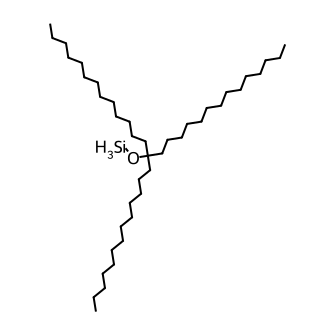 CCCCCCCCCCCCCCC(CCCCCCCCCCCCC)(CCCCCCCCCCCCC)O[SiH3]